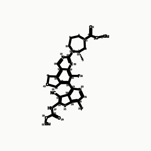 C[C@H]1CN(C(=O)OC(C)(C)C)CCCN1c1ncc2c3c(c(-c4ncc(F)c5sc(NC(=O)OC(C)(C)C)c(C#N)c45)c(F)c2n1)COC3